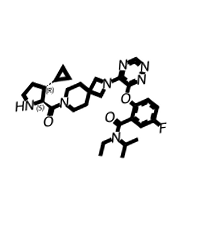 CCN(C(=O)c1cc(F)ccc1Oc1nncnc1N1CC2(CCN(C(=O)[C@H]3NCC[C@@H]3C3CC3)CC2)C1)C(C)C